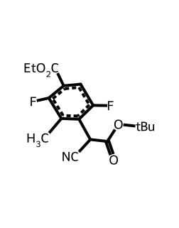 CCOC(=O)c1cc(F)c(C(C#N)C(=O)OC(C)(C)C)c(C)c1F